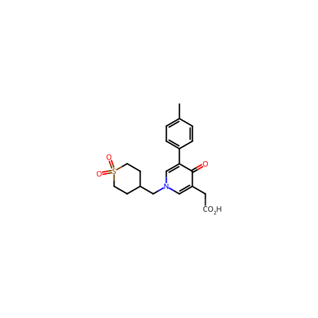 Cc1ccc(-c2cn(CC3CCS(=O)(=O)CC3)cc(CC(=O)O)c2=O)cc1